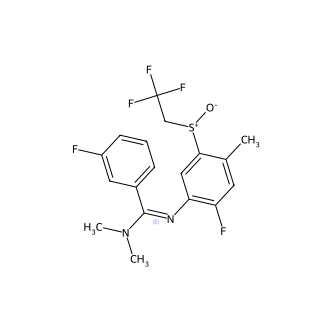 Cc1cc(F)c(/N=C(\c2cccc(F)c2)N(C)C)cc1[S+]([O-])CC(F)(F)F